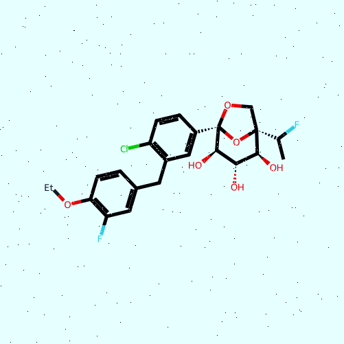 CCOc1ccc(Cc2cc([C@]34OC[C@](C(C)F)(O3)[C@@H](O)[C@H](O)[C@H]4O)ccc2Cl)cc1F